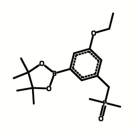 CCOc1cc(CP(C)(C)=O)cc(B2OC(C)(C)C(C)(C)O2)c1